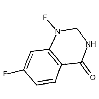 O=C1NCN(F)c2cc(F)ccc21